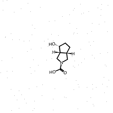 O=C(O)N1C[C@H]2CC[C@@H](O)[C@H]2C1